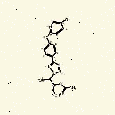 CC(C)(C)C(C(CO)OC(N)=O)n1nnc(-c2ccc(Oc3ccc(Cl)cn3)cc2)n1